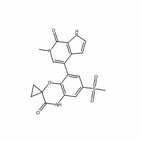 Cn1cc(-c2cc(S(C)(=O)=O)cc3c2OC2(CC2)C(=O)N3)c2cc[nH]c2c1=O